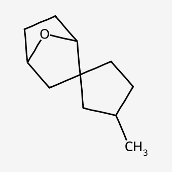 CC1CCC2(C1)CC1CCC2O1